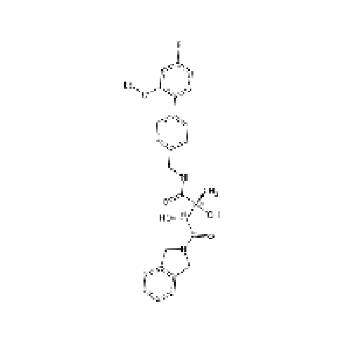 CCOc1cc(F)ccc1-c1ccc(CNC(=O)[C@](C)(O)[C@@H](O)C(=O)N2Cc3cccnc3C2)cc1